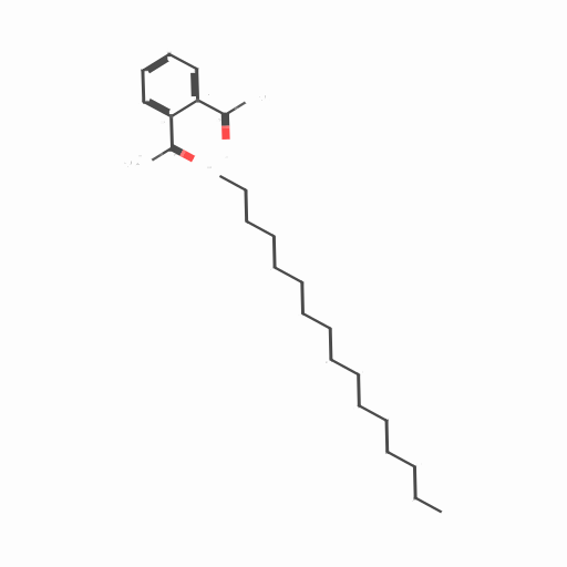 CCCCCCCCCCCCCCCC.COC(=O)c1ccccc1C(=O)OC